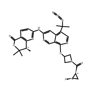 C[C@@H]1c2nc(Nc3cc4c(C(C)(C)N=[N+]=[N-])cnc(OC5CN(C(=O)[C@H]6C[C@H]6F)C5)c4cn3)ccc2C(=O)OC1(C)C